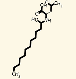 CCCCCCCCCCCC(O)N[C@@H](CC(C)C)C(=O)O